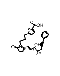 C[C@H](CC#Cc1ccccc1)[C@H](O)C=C[C@H]1CCC(=O)N1CCCc1ccc(C(=O)O)s1